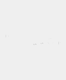 CCCCCCCCC#CC#Cc1ccc(CBr)cc1